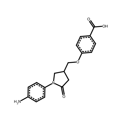 Nc1ccc(N2CC(COc3ccc(C(=O)O)cc3)CC2=O)cc1